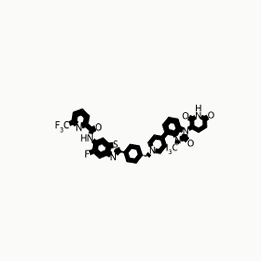 Cn1c(=O)n(C2CCC(=O)NC2=O)c2cccc(C3CCN(C[C@H]4CC[C@H](c5nc6cc(F)c(NC(=O)c7cccc(C(F)(F)F)n7)cc6s5)CC4)CC3)c21